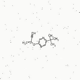 C#C[C@H](C)Oc1cnc(C(C)(C)C)cn1